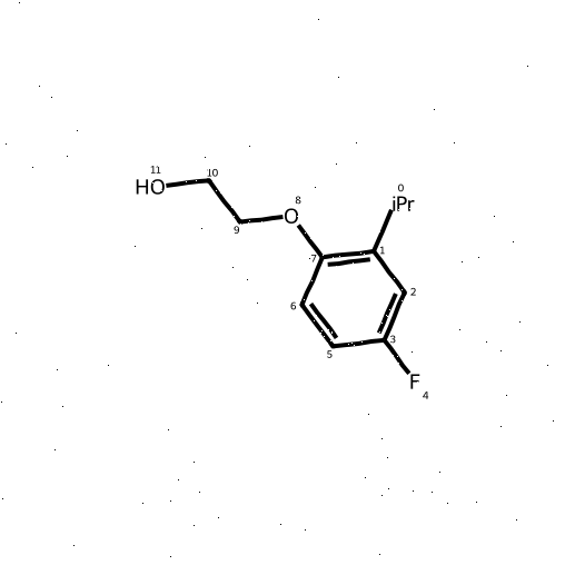 CC(C)c1cc(F)ccc1OCCO